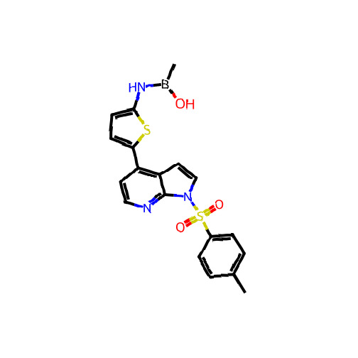 CB(O)Nc1ccc(-c2ccnc3c2ccn3S(=O)(=O)c2ccc(C)cc2)s1